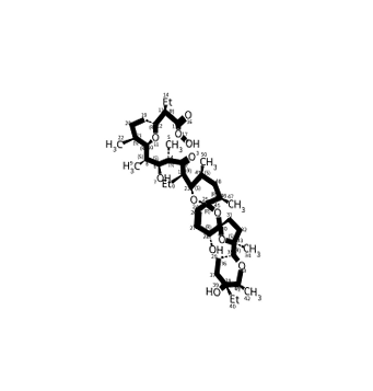 CC[C@@H](C(=O)[C@@H](C)[C@@H](O)[C@H](C)[C@@H]1O[C@@H]([C@@H](CC)C(=O)OO)CC[C@@H]1C)[C@H]1O[C@]2(C=C[C@@H](O)[C@]3(CC[C@@](C)([C@H]4CC[C@](O)(CC)[C@H](C)O4)O3)O2)[C@H](C)C[C@@H]1C